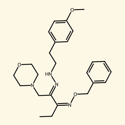 CCC(=NOCc1ccccc1)C(CN1CCOCC1)=NNCCc1ccc(OC)cc1